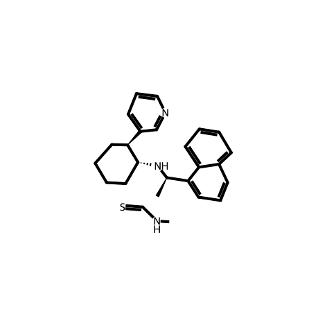 CNC=S.C[C@@H](N[C@@H]1CCCC[C@H]1c1cccnc1)c1cccc2ccccc12